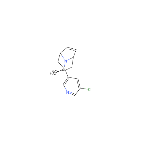 N#CC1(c2cncc(Cl)c2)CC2C=CC(C1)N2CC(F)(F)F